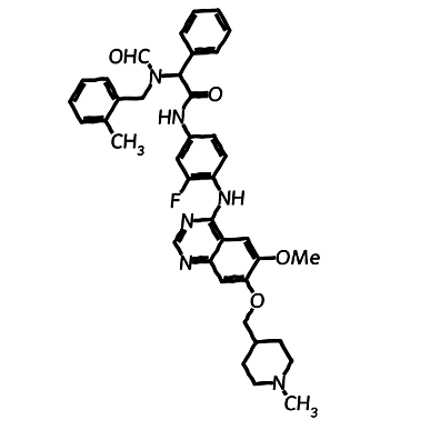 COc1cc2c(Nc3ccc(NC(=O)C(c4ccccc4)N(C=O)Cc4ccccc4C)cc3F)ncnc2cc1OCC1CCN(C)CC1